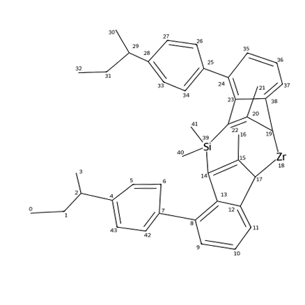 CCC(C)c1ccc(-c2cccc3c2C2=C(C)[CH]3[Zr][CH]3C(C)=C(c4c(-c5ccc(C(C)CC)cc5)cccc43)[Si]2(C)C)cc1